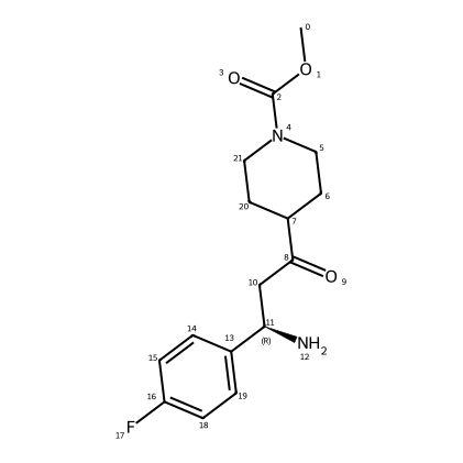 COC(=O)N1CCC(C(=O)C[C@@H](N)c2ccc(F)cc2)CC1